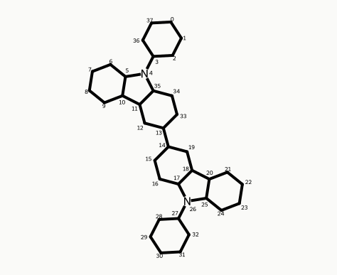 C1CCC(N2C3CCCCC3C3CC(C4CCC5C(C4)C4CCCCC4N5C4CCCCC4)CCC32)CC1